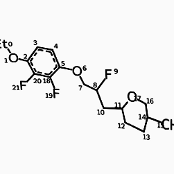 CCOc1ccc(OCC(F)CC2CCC(C)CO2)c(F)c1F